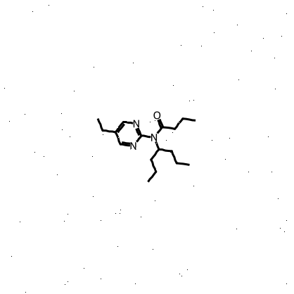 CCCC(=O)N(c1ncc(CC)cn1)C(CCC)CCC